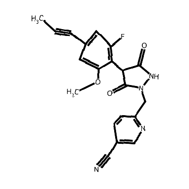 CC#Cc1cc(F)c(C2C(=O)NN(Cc3ccc(C#N)cn3)C2=O)c(OC)c1